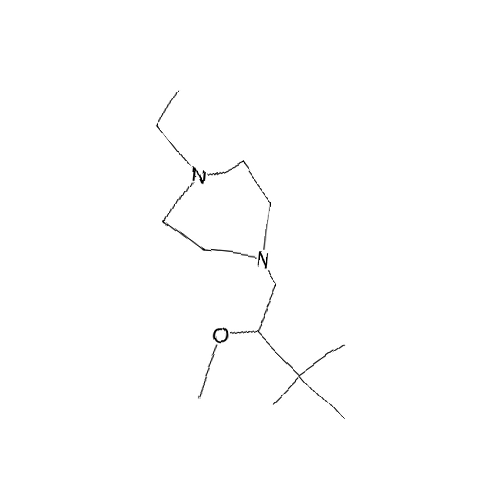 CCN1CCN(CC(OC)C(C)(C)C)CC1